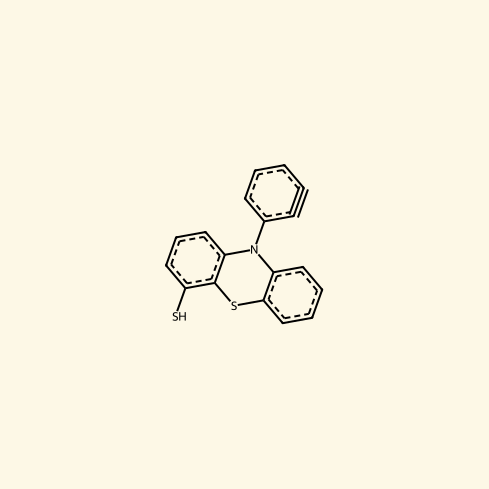 Sc1cccc2c1Sc1ccccc1N2c1c#cccc1